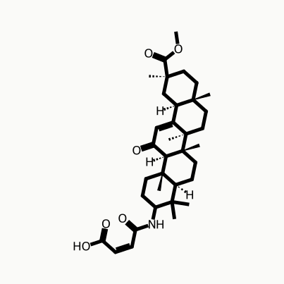 COC(=O)[C@@]1(C)CC[C@]2(C)CC[C@]3(C)C(=CC(=O)[C@@H]4[C@@]5(C)CCC(NC(=O)/C=C\C(=O)O)C(C)(C)[C@@H]5CC[C@]43C)[C@H]2C1